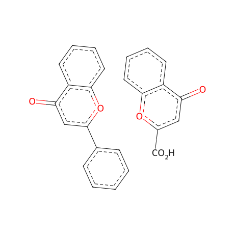 O=C(O)c1cc(=O)c2ccccc2o1.O=c1cc(-c2ccccc2)oc2ccccc12